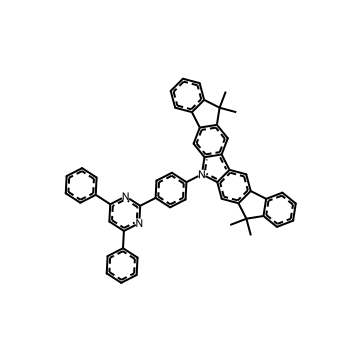 CC1(C)c2ccccc2-c2cc3c(cc21)c1cc2c(cc1n3-c1ccc(-c3nc(-c4ccccc4)cc(-c4ccccc4)n3)cc1)C(C)(C)c1ccccc1-2